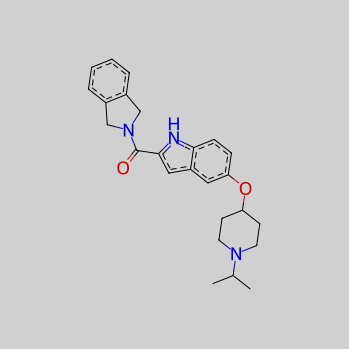 CC(C)N1CCC(Oc2ccc3[nH]c(C(=O)N4Cc5ccccc5C4)cc3c2)CC1